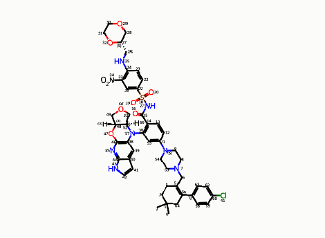 CC1(C)CCC(CN2CCN(c3ccc(C(=O)NS(=O)(=O)c4ccc(NC[C@H]5COCCO5)c([N+](=O)[O-])c4)c(N4c5cc6cc[nH]c6nc5O[C@@H]5COC[C@H]54)c3)CC2)=C(c2ccc(Cl)cc2)C1